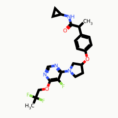 CC(C(=O)NC1CC1)c1ccc(OC2CCN(c3ncnc(OCC(C)(F)F)c3F)C2)cc1